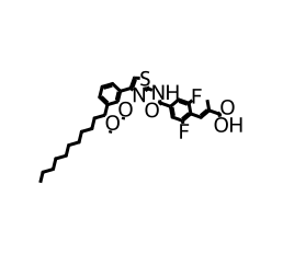 CCCCCCCCCCC(OC)c1cccc(-c2csc(NC(=O)c3cc(F)c(/C=C(\C)C(=O)O)c(F)c3)n2)c1OC